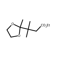 CCOC(=O)CC(C)(C)C1(C)OCCO1